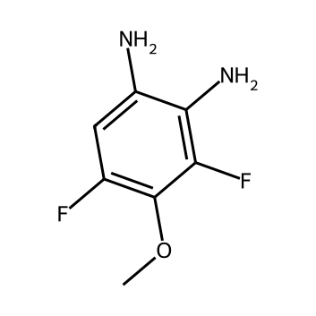 COc1c(F)cc(N)c(N)c1F